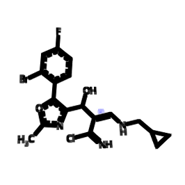 Cc1nc(C(O)/C(=C/NCC2CC2)C(=N)Cl)c(-c2ccc(F)cc2Br)o1